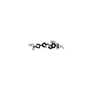 CS(=O)(=O)c1cc(N)c2c(ccn2Cc2ccc(C3CCN(C(=O)O)CC3)cn2)c1